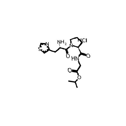 CC(C)OC(=O)CNC(=O)[C@@H]1CCCN1C(=O)[C@@H](N)Cc1cscn1.Cl